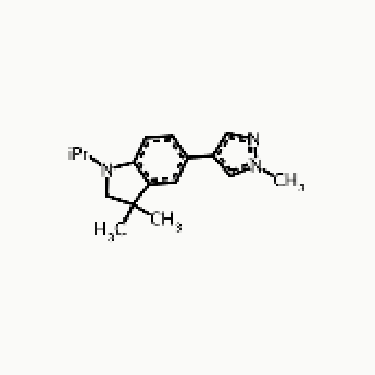 CC(C)N1CC(C)(C)c2cc(-c3cnn(C)c3)ccc21